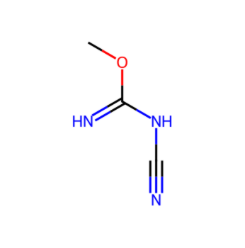 COC(=N)NC#N